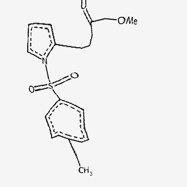 COC(=O)Cc1cccn1S(=O)(=O)c1ccc(C)cc1